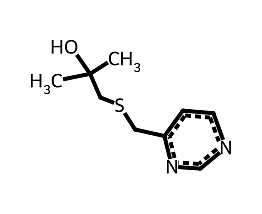 CC(C)(O)CSCc1ccncn1